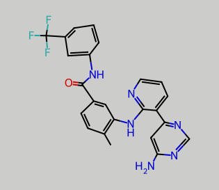 Cc1ccc(C(=O)Nc2cccc(C(F)(F)F)c2)cc1Nc1ncccc1-c1cc(N)ncn1